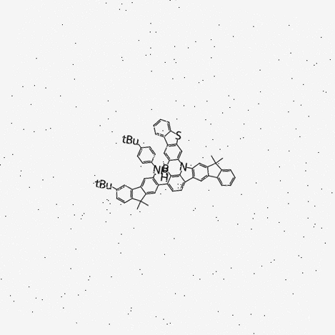 CC(C)(C)c1ccc(Nc2cc3c(cc2-c2ccc4c5cc6c(cc5n5c4c2Bc2cc4c(cc2-5)sc2ccccc24)C(C)(C)c2ccccc2-6)C(C)(C)c2ccc(C(C)(C)C)cc2-3)cc1